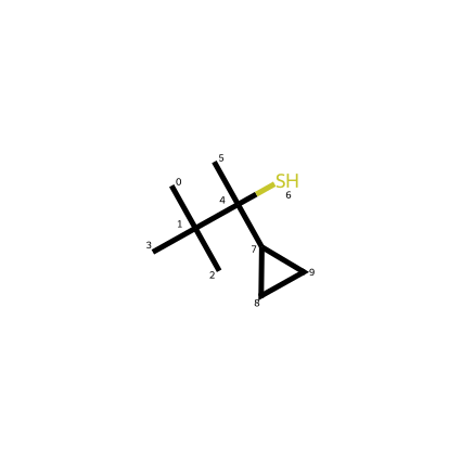 CC(C)(C)C(C)(S)C1CC1